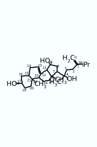 C=C(CCC(C)(O)C1CC(O)C2C3=CCC4CC(O)CCC4(C)C3CCC21C)C(C)C